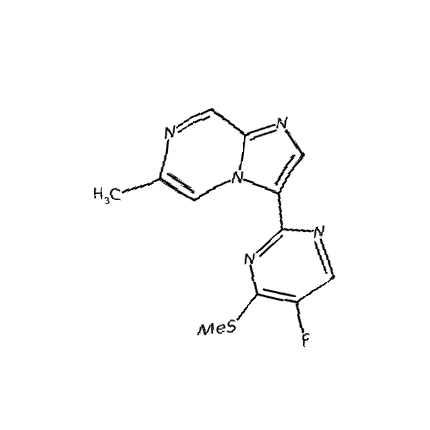 CSc1nc(-c2cnc3cnc(C)cn23)ncc1F